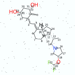 C=C1C(=CC=C2CCC[C@]3(C)[C@@H](C(C)CN4CCC(OC(F)F)C4)CC[C@@H]23)C[C@@H](O)C[C@@H]1O